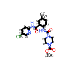 CC(C)(C)OC(=O)N1CCN(C(=O)Nc2ccc(C(F)(F)F)cc2C(=O)Nc2ccc(Cl)cn2)CC1